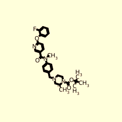 C[C@H]1CN(Cc2ccc(N(C)C(=O)c3ccc(Oc4ccccc4F)nc3)cc2)CCN1C(=O)OC(C)(C)C